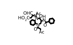 CC(=O)CC(=O)N1C[C@H](NC(=O)c2ccccc2)C(=O)N(N(C(C)=O)[C@H](C=O)CC(=O)O)c2ccccc21